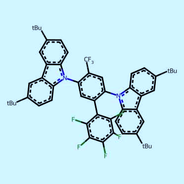 CC(C)(C)c1ccc2c(c1)c1cc(C(C)(C)C)ccc1n2-c1cc(C(F)(F)F)c(-n2c3ccc(C(C)(C)C)cc3c3cc(C(C)(C)C)ccc32)cc1-c1c(F)c(F)c(F)c(F)c1F